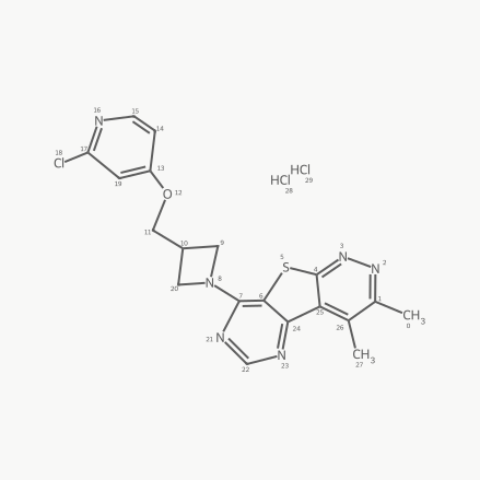 Cc1nnc2sc3c(N4CC(COc5ccnc(Cl)c5)C4)ncnc3c2c1C.Cl.Cl